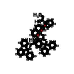 CCC(=N)[C@@H]1C(c2ccc3ccccc3c2)CC2CCC1N2CCCN(CCSC(c1ccccc1)(c1ccccc1)c1ccccc1)CC(=O)NCCSC(c1ccccc1)(c1ccccc1)c1ccccc1